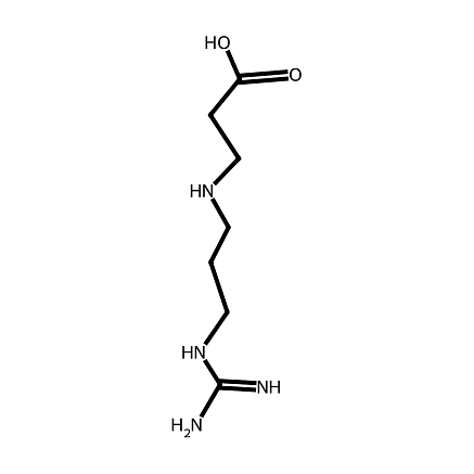 N=C(N)NCCCNCCC(=O)O